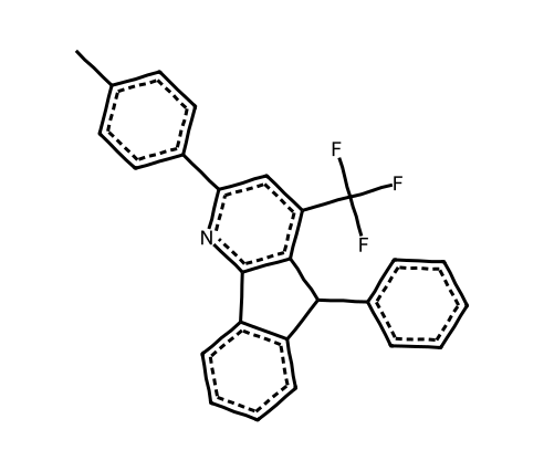 Cc1ccc(-c2cc(C(F)(F)F)c3c(n2)-c2ccccc2C3c2ccccc2)cc1